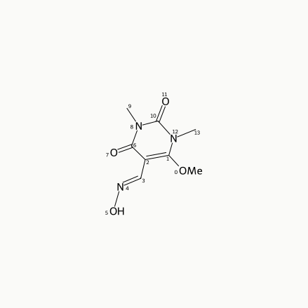 COc1c(C=NO)c(=O)n(C)c(=O)n1C